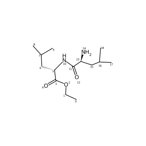 CCOC(=O)[C@H](CC(C)C)NC(=O)[C@@H](N)CC(C)C